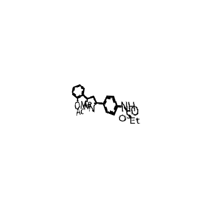 CCS(=O)(=O)Nc1ccc(C2=NN(C(C)=O)C(c3ccccc3OC)C2)cc1